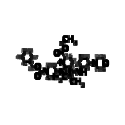 CCOC(=O)c1cc(-c2ccc(N3CCOCC3)cc2)c(C(=N)C(C)C)c(NC2CCN(C(=O)OCc3ccccc3)CC2)n1